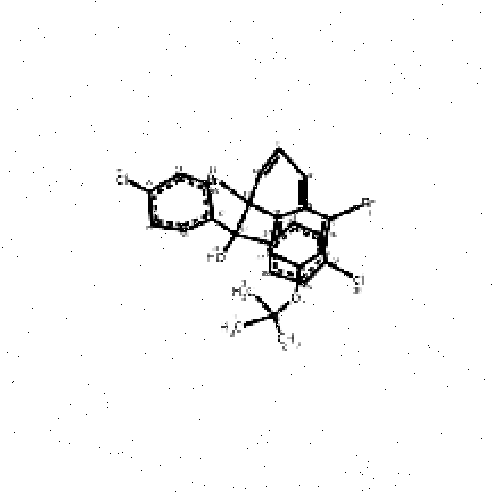 CC(C)(C)OC1C=C(Br)C2=CC=CC(Br)(C(O)(c3ccc(Cl)cc3)c3ccc(Cl)cc3)C2=N1